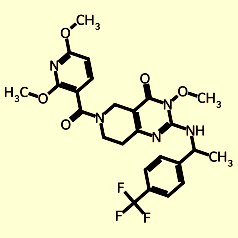 COc1ccc(C(=O)N2CCc3nc(NC(C)c4ccc(C(F)(F)F)cc4)n(OC)c(=O)c3C2)c(OC)n1